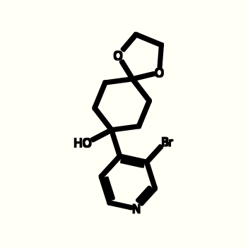 OC1(c2ccncc2Br)CCC2(CC1)OCCO2